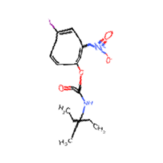 CC(C)(C)NC(=O)Oc1ccc(I)cc1[N+](=O)[O-]